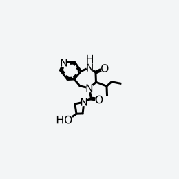 CCC(C)C1C(=O)Nc2cnccc2CN1C(=O)N1CC(O)C1